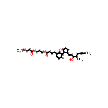 CC#CCC(C)C(O)/C=C/C1CCC2Oc3c(CCCC(=O)OCCCOC(=O)CCO[N+](=O)[O-])cccc3C12